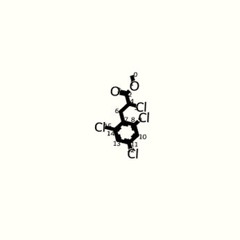 COC(=O)C(Cl)Cc1c(Cl)cc(Cl)cc1Cl